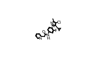 Cc1nn(-c2ccc(NC(=O)Cc3ccccn3)cc2F)c(C2CC2)c1Cl